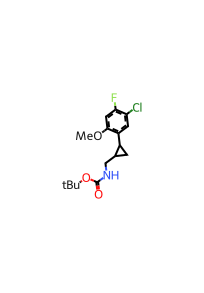 COc1cc(F)c(Cl)cc1C1CC1CNC(=O)OC(C)(C)C